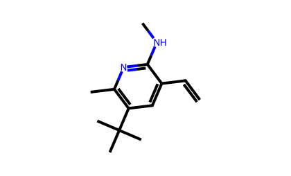 C=Cc1cc(C(C)(C)C)c(C)nc1NC